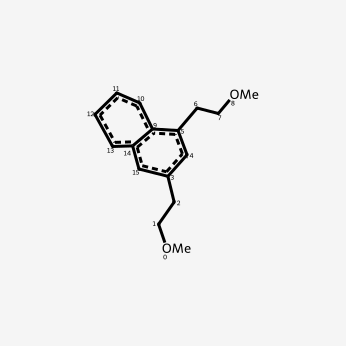 COCCc1[c]c(CCOC)c2ccccc2c1